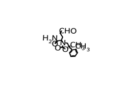 Cc1ccccc1[C@@]1(C)CN(C(CCC=O)C(N)=O)C(=O)O1